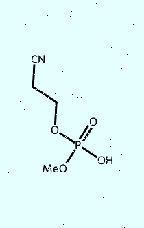 COP(=O)(O)OCCC#N